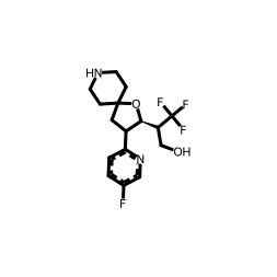 OCC([C@@H]1OC2(CCNCC2)CC1c1ccc(F)cn1)C(F)(F)F